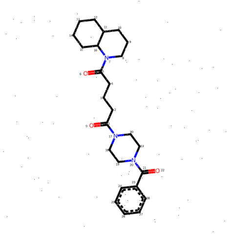 O=C(CCCC(=O)N1CCCC2CCCCC21)N1CCN(C(=O)c2ccccc2)CC1